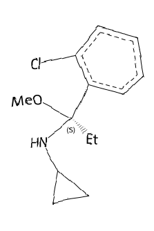 CC[C@](NC1CC1)(OC)c1ccccc1Cl